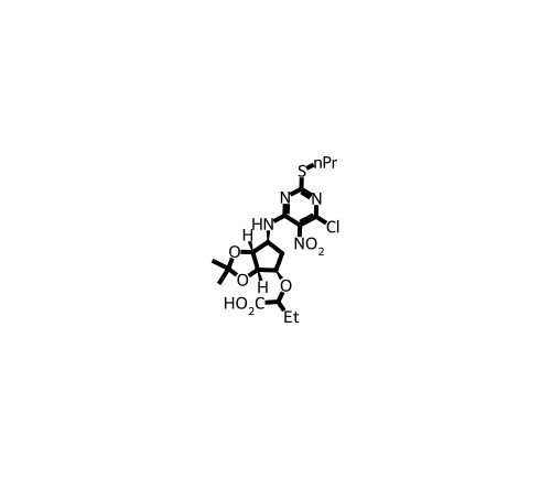 CCCSc1nc(Cl)c([N+](=O)[O-])c(N[C@H]2C[C@@H](OC(CC)C(=O)O)[C@@H]3OC(C)(C)O[C@@H]32)n1